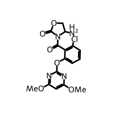 COc1cc(OC)nc(Oc2cccc(Cl)c2C(=O)N2C(=O)OCC2N)n1